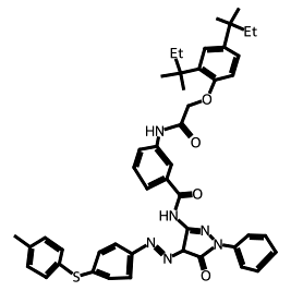 CCC(C)(C)c1ccc(OCC(=O)Nc2cccc(C(=O)NC3=NN(c4ccccc4)C(=O)C3N=Nc3ccc(Sc4ccc(C)cc4)cc3)c2)c(C(C)(C)CC)c1